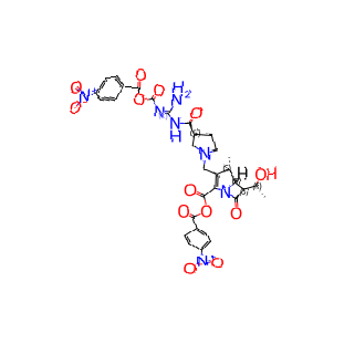 C[C@@H](O)[C@H]1C(=O)N2C(C(=O)OC(=O)c3ccc([N+](=O)[O-])cc3)=C(CN3CC[C@H](C(=O)N/C(N)=N/C(=O)OC(=O)c4ccc([N+](=O)[O-])cc4)C3)[C@H](C)[C@H]12